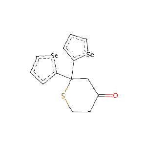 O=C1CCSC(c2ccc[se]2)(c2ccc[se]2)C1